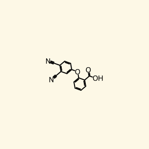 N#Cc1ccc(Oc2ccccc2C(=O)O)cc1C#N